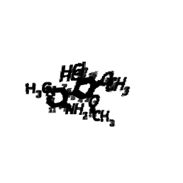 CCOc1cc([C@@H]2CN(C)CC[C@@H]2N)ccc1OC.Cl.Cl